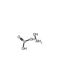 O=[Si](O)O.[OH][AlH2]